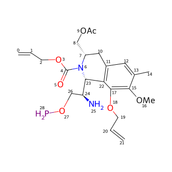 C=CCOC(=O)N1[C@H](COC(C)=O)Cc2cc(C)c(OC)c(OCC=C)c2[C@@H]1[C@@H](N)COP